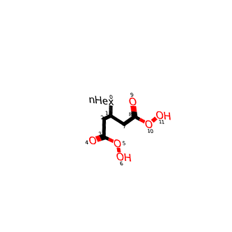 CCCCCCC(CC(=O)OO)CC(=O)OO